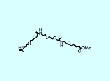 C=C(C)NCCOCCOCC(=C)NCCOCCOCC(=O)NCCOCCCCC(=O)OC